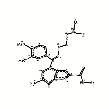 CCNC(=O)c1cc2c(C(=NOCCN(CC)CC)c3ccc(OC)c(OC)c3)nc(N)nc2s1